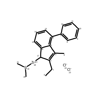 CCC1=C(C)c2c(-c3ccccc3)cccc2[CH]1[Zr+2][Si](C)C.[Cl-].[Cl-]